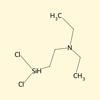 CCN(CC)CC[SiH](Cl)Cl